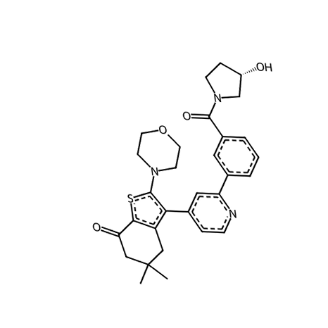 CC1(C)CC(=O)c2sc(N3CCOCC3)c(-c3ccnc(-c4cccc(C(=O)N5CC[C@H](O)C5)c4)c3)c2C1